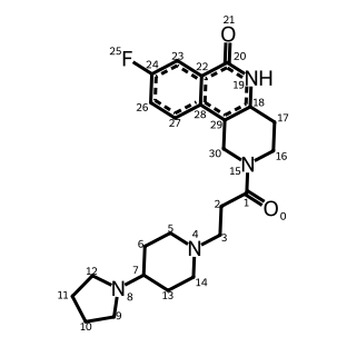 O=C(CCN1CCC(N2CCCC2)CC1)N1CCc2[nH]c(=O)c3cc(F)ccc3c2C1